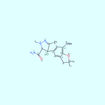 CCC1=NN(C)C(C(N)=O)C1(Cl)c1cc2c(c(OC)c1)OC(C)(C)C2